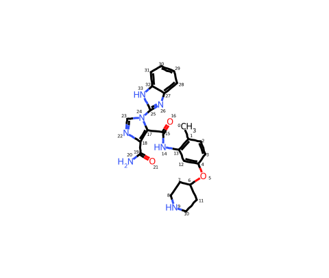 Cc1ccc(OC2CCNCC2)cc1NC(=O)c1c(C(N)=O)ncn1-c1nc2ccccc2[nH]1